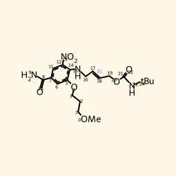 COCCCOc1cc(C(N)=O)cc([N+](=O)[O-])c1NC/C=C/COC(=O)NC(C)(C)C